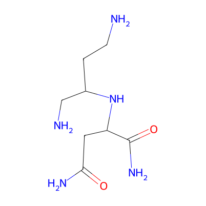 NCCC(CN)NC(CC(N)=O)C(N)=O